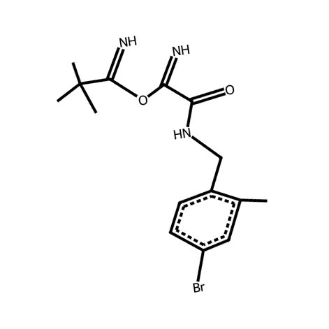 Cc1cc(Br)ccc1CNC(=O)C(=N)OC(=N)C(C)(C)C